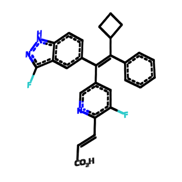 O=C(O)/C=C/c1ncc(/C(=C(\c2ccccc2)C2CCC2)c2ccc3[nH]nc(F)c3c2)cc1F